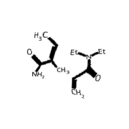 C=CC(=O)N(CC)CC.CC=C(C)C(N)=O